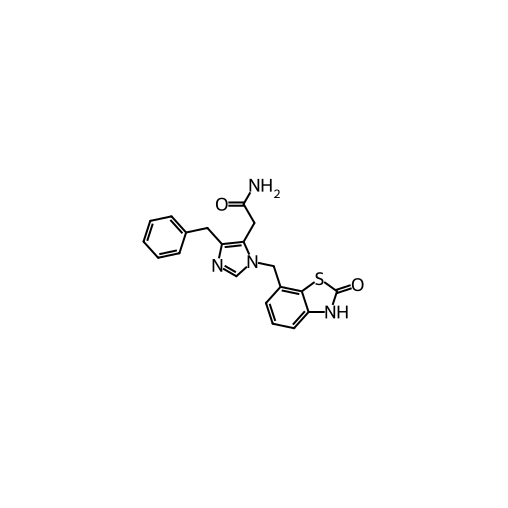 NC(=O)Cc1c(Cc2ccccc2)ncn1Cc1cccc2[nH]c(=O)sc12